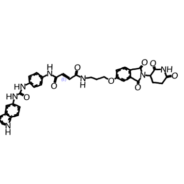 O=C(/C=C/C(=O)Nc1ccc(NC(=O)Nc2ccc3[nH]ccc3c2)cc1)NCCCOc1ccc2c(c1)C(=O)N(C1CCC(=O)NC1=O)C2=O